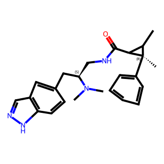 CC1C(C(=O)NC[C@H](Cc2ccc3[nH]ncc3c2)N(C)C)[C@]1(C)c1ccccc1